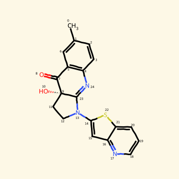 Cc1ccc2c(c1)C(=O)[C@]1(O)CCN(c3cc4ncccc4s3)C1=N2